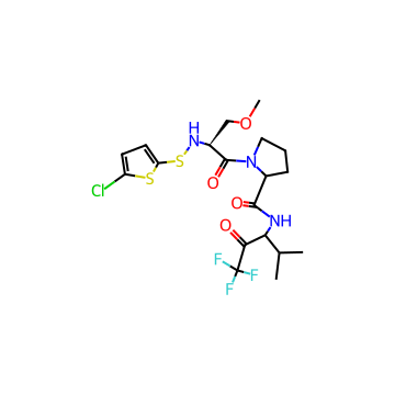 COC[C@H](NSc1ccc(Cl)s1)C(=O)N1CCCC1C(=O)NC(C(=O)C(F)(F)F)C(C)C